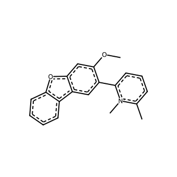 COc1cc2oc3ccccc3c2cc1-c1cccc(C)[n+]1C